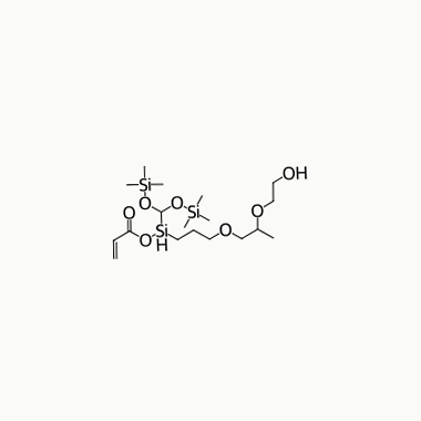 C=CC(=O)O[SiH](CCCOCC(C)OCCO)C(O[Si](C)(C)C)O[Si](C)(C)C